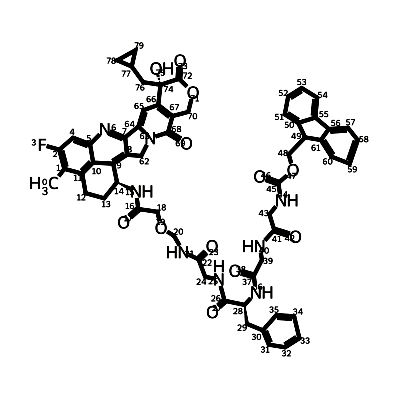 Cc1c(F)cc2nc3c(c4c2c1CC[C@@H]4NC(=O)COCNC(=O)CNC(=O)[C@H](Cc1ccccc1)NC(=O)CNC(=O)CNC(=O)OCC1c2ccccc2-c2ccccc21)Cn1c-3cc2c(c1=O)COC(=O)[C@]2(O)CC1CC1